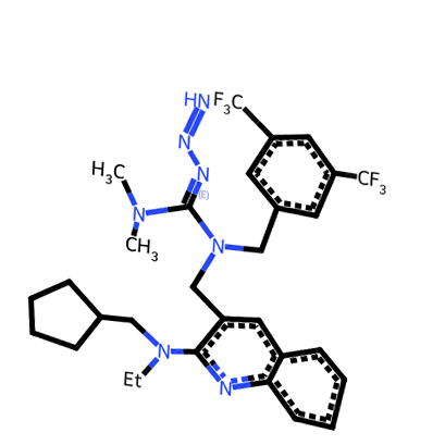 CCN(CC1CCCC1)c1nc2ccccc2cc1CN(Cc1cc(C(F)(F)F)cc(C(F)(F)F)c1)/C(=N/N=N)N(C)C